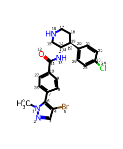 Cn1ncc(Br)c1-c1ccc(C(=O)N[C@@H]2CNCC[C@H]2c2ccc(Cl)cc2)cc1